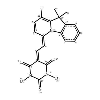 CCN1C(=O)C(=C/C=C2\C=CC(C)=C3N2c2ccccc2C3(C)C)C(=O)N(CC)C1=S